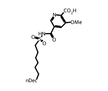 CCCCCCCCCCCCCCCCS(=O)(=O)NC(=O)c1cnc(C(=O)O)c(OC)c1